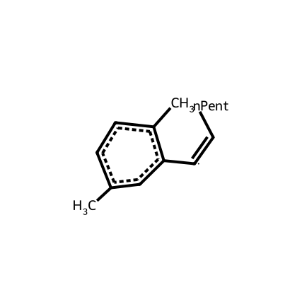 CCCCC/C=[C]\c1cc(C)ccc1C